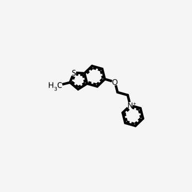 Cc1cc2cc(OCC[n+]3ccccc3)ccc2s1